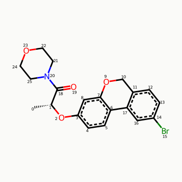 C[C@@H](Oc1ccc2c(c1)OCc1ccc(Br)cc1-2)C(=O)N1CCOCC1